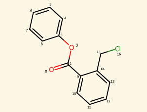 O=C(Oc1ccccc1)c1ccccc1CCl